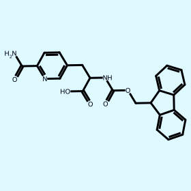 NC(=O)c1ccc(CC(NC(=O)OCC2c3ccccc3-c3ccccc32)C(=O)O)cn1